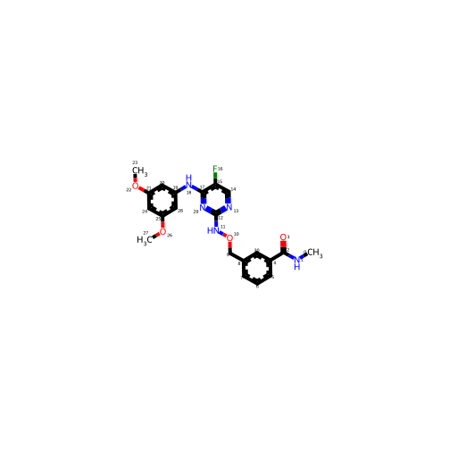 CNC(=O)c1cccc(CONc2ncc(F)c(Nc3cc(OC)cc(OC)c3)n2)c1